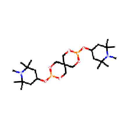 CN1C(C)(C)CC(OP2OCC3(CO2)COP(OC2CC(C)(C)N(C)C(C)(C)C2)OC3)CC1(C)C